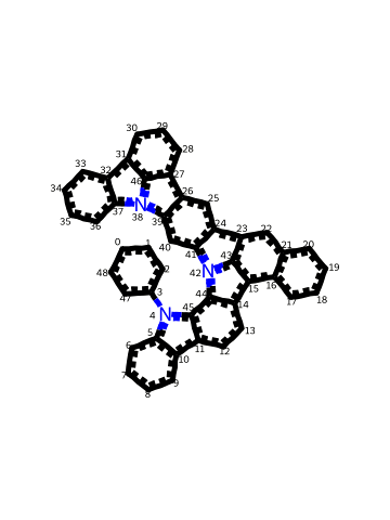 c1ccc(-n2c3ccccc3c3ccc4c5c6ccccc6cc6c7cc8c9cccc%10c%11ccccc%11n(c8cc7n(c65)c4c32)c%109)cc1